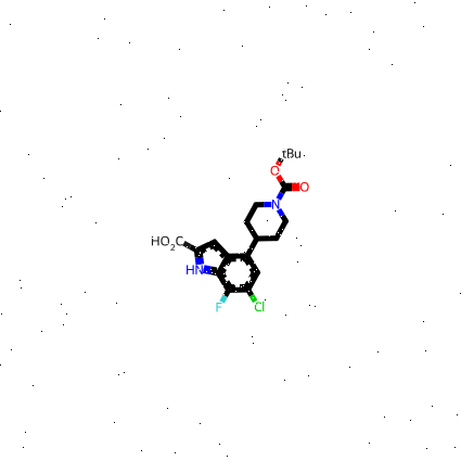 CC(C)(C)OC(=O)N1CCC(c2cc(Cl)c(F)c3[nH]c(C(=O)O)cc23)CC1